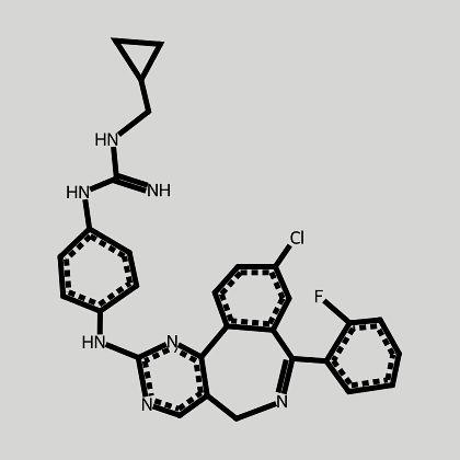 N=C(NCC1CC1)Nc1ccc(Nc2ncc3c(n2)-c2ccc(Cl)cc2C(c2ccccc2F)=NC3)cc1